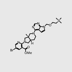 COC(=O)c1cc(Br)cnc1N1C[C@H]2CCN(c3ncnc4c3ccn4COCC[Si](C)(C)C)C[C@@]2(C)C1